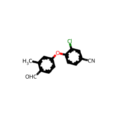 Cc1cc(Oc2ccc(C#N)cc2Cl)ccc1C=O